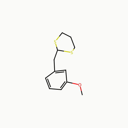 COc1cccc(CC2SCCCS2)c1